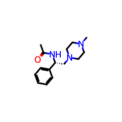 CC(=O)N[C@H](CN1CCN(C)CC1)c1ccccc1